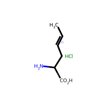 C/C=C/CC(N)C(=O)O.Cl